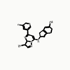 CC(C)C1C=NN2C(NC3Cc4ccc(O)cc4C3)=CC(c3cncc(F)c3)=NC12